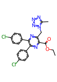 CCOC(=O)c1nc(-c2ccc(Cl)cc2)c(-c2ccc(Cl)cc2)nc1Cn1nnnc1C